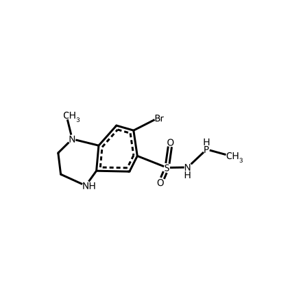 CPNS(=O)(=O)c1cc2c(cc1Br)N(C)CCN2